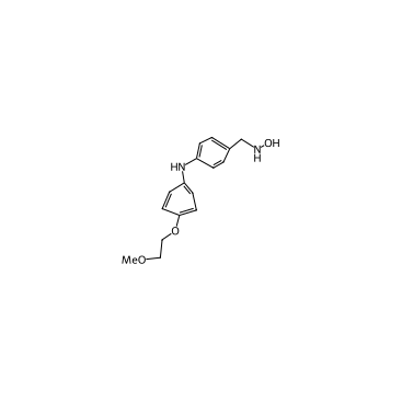 COCCOc1ccc(Nc2ccc(CNO)cc2)cc1